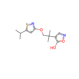 CC(C)c1cc(OCC(C)(C)c2cnoc2O)ns1